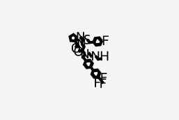 CCNCCN(Cc1ccc(-c2ccc(C(F)(F)F)cc2)cc1)C(=O)Cn1c(SCc2ccc(F)cc2)nc2c(c1=O)CCC2